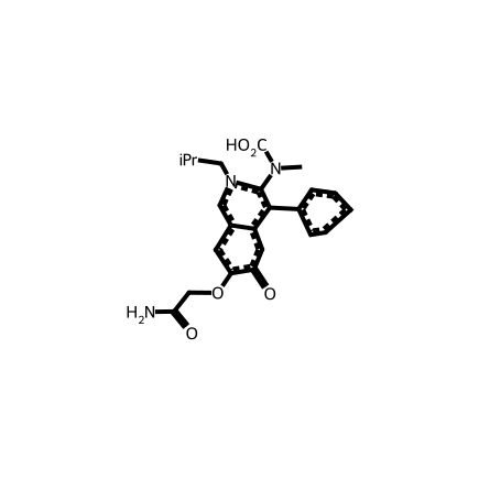 CC(C)Cn1cc2cc(OCC(N)=O)c(=O)cc-2c(-c2ccccc2)c1N(C)C(=O)O